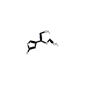 C=CS/C(=C\C)c1csc(F)c1